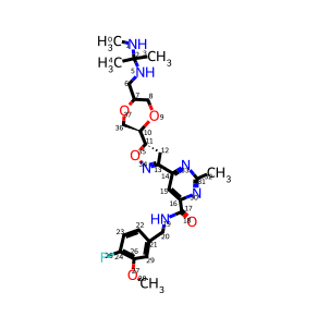 CNC(C)(C)NCC1CO[C@@H]([C@@H]2CC(c3cc(C(=O)NCc4ccc(F)c(OC)c4)nc(C)n3)=NO2)CO1